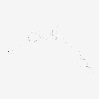 C[C@@H](NS(=O)(=O)CCCCCN1NC(=O)NC1O)c1ccc(F)c(OCC2CC2)c1